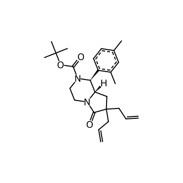 C=CCC1(CC=C)C[C@H]2[C@H](c3ccc(C)cc3C)N(C(=O)OC(C)(C)C)CCN2C1=O